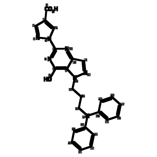 O=C(O)c1cnn(-c2nc(O)c3c(cnn3CCCN(c3ccccc3)c3ccccc3)n2)c1